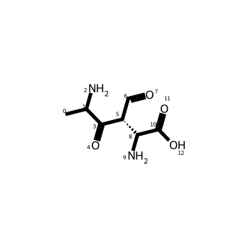 CC(N)C(=O)[C@H](C=O)C(N)C(=O)O